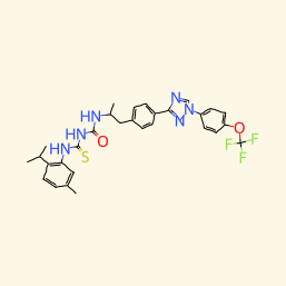 Cc1ccc(C(C)C)c(NC(=S)NC(=O)NC(C)Cc2ccc(-c3ncn(-c4ccc(OC(F)(F)F)cc4)n3)cc2)c1